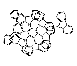 c1ccc(-c2cc(-c3ccccc3)nc(-c3c(-n4c5ccccc5c5ccccc54)c(-n4c5ccccc5c5ccccc54)c(-n4c5ccccc5c5cc(-n6c7ccccc7c7ccccc76)ccc54)c(-n4c5ccccc5c5ccccc54)c3-n3c4ccccc4c4ccccc43)n2)cc1